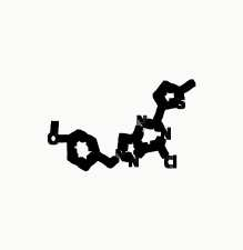 COc1ccc(Cn2cc3nc(-c4ccc(C)s4)nc(Cl)c3n2)cc1